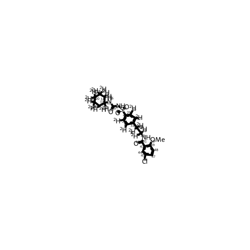 [2H]c1c([2H])c(S(=O)(=O)NC(=O)NC2([2H])C([2H])([2H])C([2H])([2H])C([2H])([2H])C([2H])([2H])C2([2H])[2H])c([2H])c([2H])c1C([2H])([2H])C([2H])([2H])NC(=O)c1cc(Cl)ccc1OC